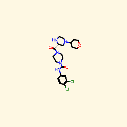 O=C(Nc1ccc(Cl)c(Cl)c1)N1CCN(C(=O)[C@H]2CN(C3CCOCC3)CCN2)CC1